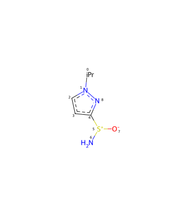 CC(C)n1ccc([S+](N)[O-])n1